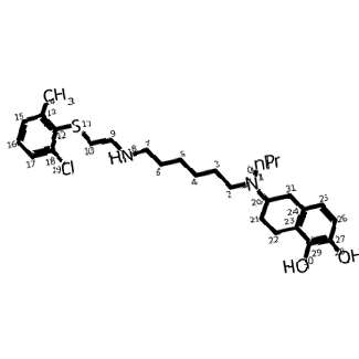 CCCN(CCCCCCNCCSc1c(C)cccc1Cl)C1CCc2c(ccc(O)c2O)C1